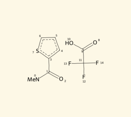 CNC(=O)c1cccs1.O=C(O)C(F)(F)F